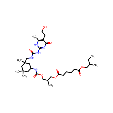 CCC(C)COC(=O)CCCCC(=O)OCC(C)COC(=O)NC1CC(C)(C)CC(C)(CNC(=O)Nc2nc(=O)c(CCO)c(C)[nH]2)C1